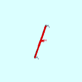 CCCCCCCCCCCCCCCCCCCCCCCCCOOOOOOOOOOOC(CCCCOCCOCCOCCOCCOCCOCCOCCOCCOCCOC)COCCC(=O)O